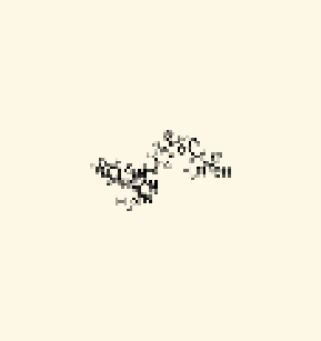 C[C@H](OC(=O)CC[C@H](N)C(=O)O)C(=O)N1CCC(CCn2c(Sc3cc4c(cc3Br)OCO4)nc3c(N)ncnc32)CC1